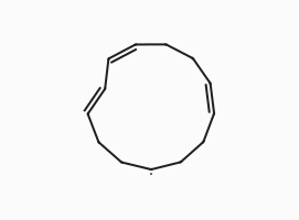 [CH]1CC/C=C\CC/C=C\C=C\CC1